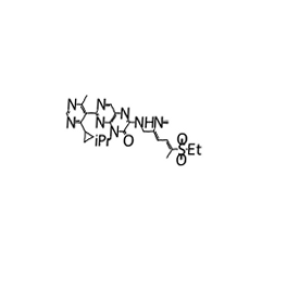 C=N/C(=C\C=C(/C)S(=O)(=O)CC)CNc1nc2cnc(-c3c(C)ncnc3C3CC3)nc2n(C(C)C)c1=O